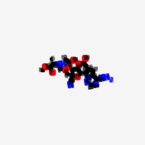 COC(=O)[C@H](C)NCOC[C@@]1(C#N)O[C@@H](c2ccc3c(N)ncnn23)[C@H](OC(C)=O)[C@@H]1OC(C)=O